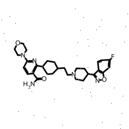 NC(=O)c1ccc(N2CCOCC2)nc1C1CCC(CCN2CCC(c3noc4cc(F)ccc34)CC2)CC1